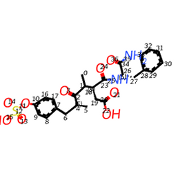 CC(C(=O)[C@@H](C)Cc1ccc(OS(=O)(=O)O)cc1)[C@H](CC(=O)O)C(=O)N[C@@H](Cc1ccccc1)C(N)=O